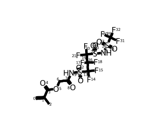 C=C(C)C(=O)OCC(=O)NS(=O)(=O)C(F)(F)C(F)(F)C(F)(F)S(=O)(=O)NS(=O)(=O)C(F)(F)F